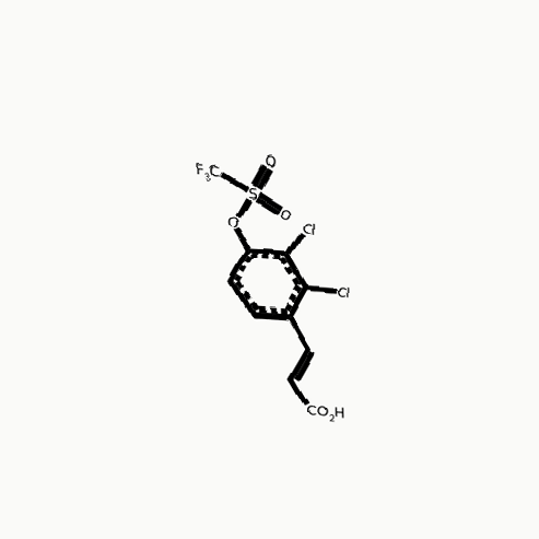 O=C(O)C=Cc1ccc(OS(=O)(=O)C(F)(F)F)c(Cl)c1Cl